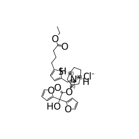 CCOC(=O)CCCc1ccc(C[N@+]2(C)[C@@H]3CC[C@H]2C[C@@H](OC(=O)C(O)(c2ccco2)c2ccco2)C3)s1.[Cl-]